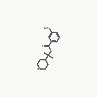 CSc1cccc(C(=O)OC(C)(C)C2CCNCC2)c1